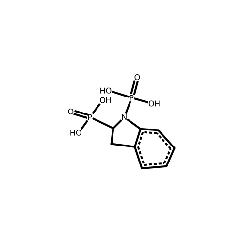 O=P(O)(O)C1Cc2ccccc2N1P(=O)(O)O